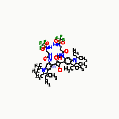 CC(C)N1c2cc(NC(=O)CCNS(=O)(=O)C(F)(F)F)c(C3=C(O)/C(=c4/cc5c(cc4NC(=O)CCNS(=O)(=O)C(F)(F)F)=[N+](C(C)C)C(C)C5(C)C)C3=O)cc2C(C)(C)C1C